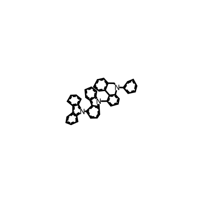 c1ccc(N2Cc3ccccc3-c3c2cccc3-n2c3ccccc3c3c(-n4c5ccccc5c5ccccc54)cccc32)cc1